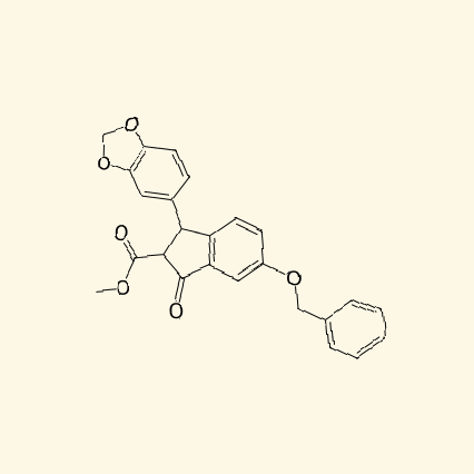 COC(=O)C1C(=O)c2cc(OCc3ccccc3)ccc2C1c1ccc2c(c1)OCO2